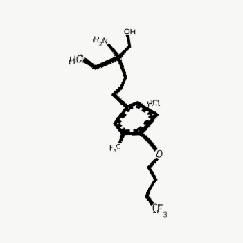 Cl.NC(CO)(CO)CCc1ccc(OCCCC(F)(F)F)c(C(F)(F)F)c1